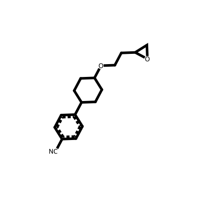 N#Cc1ccc(C2CCC(OCCC3CO3)CC2)cc1